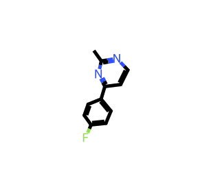 Cc1nccc(-c2ccc(F)cc2)n1